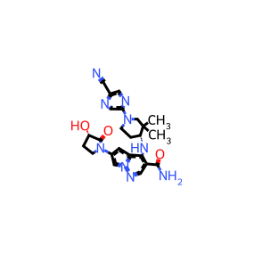 CC1(C)CN(c2cnc(C#N)cn2)CC[C@H]1Nc1c(C(N)=O)cnn2cc(N3CC[C@H](O)C3=O)cc12